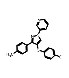 Cc1ccc(-c2nn(-c3cccnc3)cc2Sc2ccc(Cl)cc2)cc1